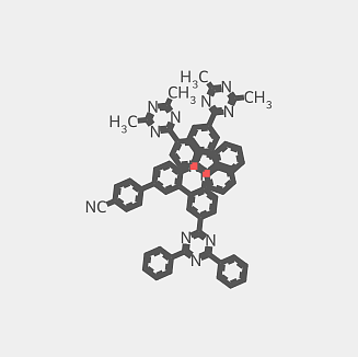 Cc1nc(C)nc(-c2ccc3c(c2)c2ccccc2n3-c2ccc(-c3ccc(C#N)cc3)cc2-c2cc(-c3nc(-c4ccccc4)nc(-c4ccccc4)n3)ccc2-n2c3ccccc3c3cc(-c4nc(C)nc(C)n4)ccc32)n1